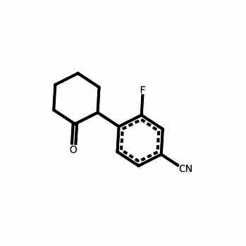 N#Cc1ccc(C2CCCCC2=O)c(F)c1